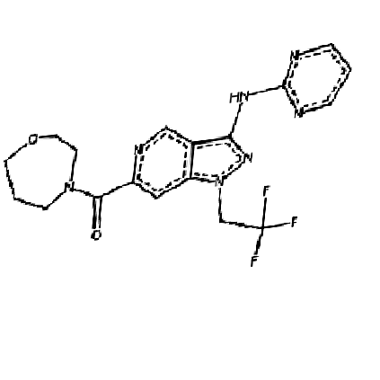 O=C(c1cc2c(cn1)c(Nc1ncccn1)nn2CC(F)(F)F)N1CCCOCC1